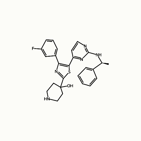 C[C@H](Nc1nccc(-c2sc(C3(O)CCNCC3)nc2-c2cccc(F)c2)n1)c1ccccc1